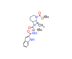 C[C@H]1C2C(CCCN2C(=O)OC(C)(C)C)N1C(=O)[C@@H](NC(=O)c1cc2ccccc2[nH]1)C(C)(C)C